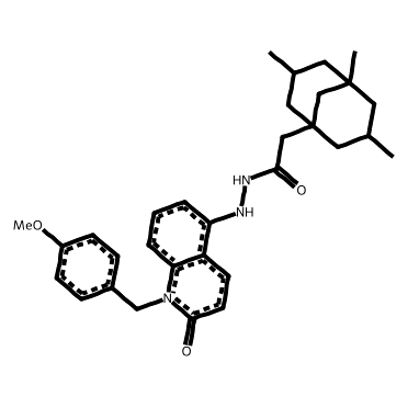 COc1ccc(Cn2c(=O)ccc3c(NNC(=O)CC45CC(C)CC(C)(CC(C)C4)C5)cccc32)cc1